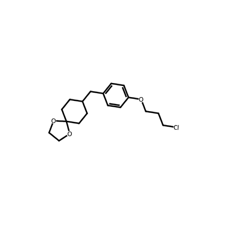 ClCCCOc1ccc(CC2CCC3(CC2)OCCO3)cc1